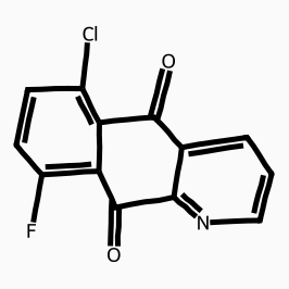 O=C1c2ncccc2C(=O)c2c(Cl)ccc(F)c21